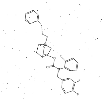 O=C(OC1C[N+]2(CCCc3ccccc3)CCC1CC2)N(Cc1ccc(F)c(F)c1)c1ccccc1F